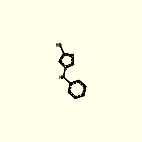 Oc1cn(Nc2ccccc2)cn1